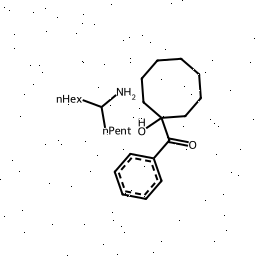 CCCCCCC(N)CCCCC.O=C(c1ccccc1)C1(O)CCCCCCC1